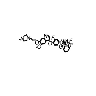 COc1cc2c(Oc3ccc(NS(=O)(=O)c4ccccc4C(F)(F)F)cc3F)ccnc2cc1OCCCN1CCN(C)CC1